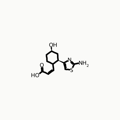 Nc1nc([C@@H]2C[C@H](O)CCC2/C=C\C(=O)O)cs1